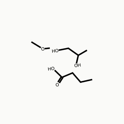 CC(O)CO.CCCC(=O)O.COC